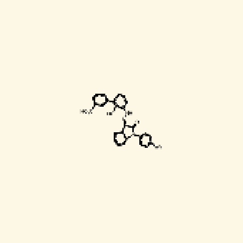 CCCc1ccc(N2C(=O)C(=NNc3cccc(-c4cccc(C(=O)O)c4)c3O)c3ccccc32)cc1